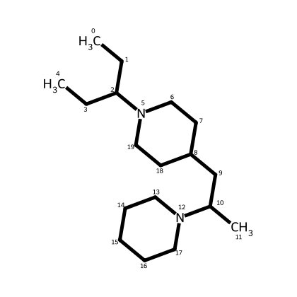 CCC(CC)N1CCC(CC(C)N2CCCCC2)CC1